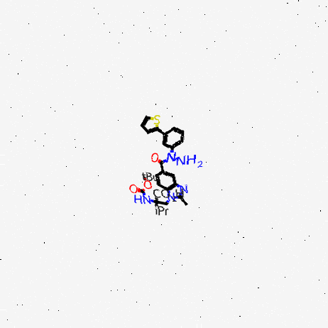 Cc1nc2cc(C(=O)N(N)c3cccc(-c4cccs4)c3)ccc2n1CC(NC(=O)OC(C)(C)C)(C(=O)O)C(C)C